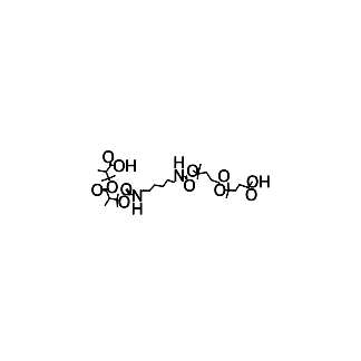 CC(C(=O)O)C(C)(C)OC(=O)C(C)C(C)(C)OC(=O)NCCCCCCNC(=O)OC(C)(C)CCC(=O)OC(C)(C)CCC(=O)O